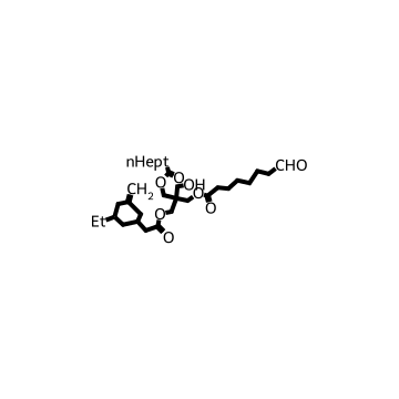 C=C1CC(CC)CC(CC(=O)OCC(CO)(COC(=O)CCCCCCC)COC(=O)CCCCCCC=O)C1